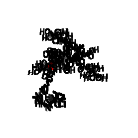 CC(=O)N[C@@H](CCC(=O)NC[C@H](O)[C@@H](O)[C@H](O)[C@H](O)CO)C(=O)N[C@@H](CCC(=O)O)C(=O)N[C@@H](CCC(=O)NC[C@H](O)[C@@H](O)[C@H](O)[C@H](O)CO)C(=O)N[C@@H](CCC(=O)O)C(=O)N[C@@H](CCC(=O)NC[C@H](O)[C@@H](O)[C@H](O)[C@H](O)CO)C(=O)N[C@@H](CSSCCOC(=O)OCCN1CCN(c2cc(Nc3ncc(C(=O)Nc4c(C)cccc4Cl)s3)nc(C)n2)CC1)C(=O)O